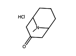 CN1C2CCCC1CC(=O)C2.Cl